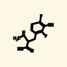 CNC(Cc1ccc(F)c(O)c1F)C(=O)O